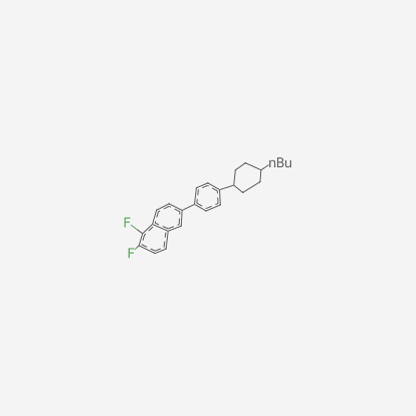 CCCCC1CCC(c2ccc(-c3ccc4c(F)c(F)ccc4c3)cc2)CC1